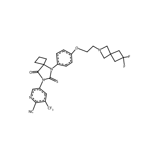 N#Cc1ncc(N2C(=O)C3(CCC3)N(c3ccc(OCCN4CC5(C4)CC(F)(F)C5)cc3)C2=S)cc1C(F)(F)F